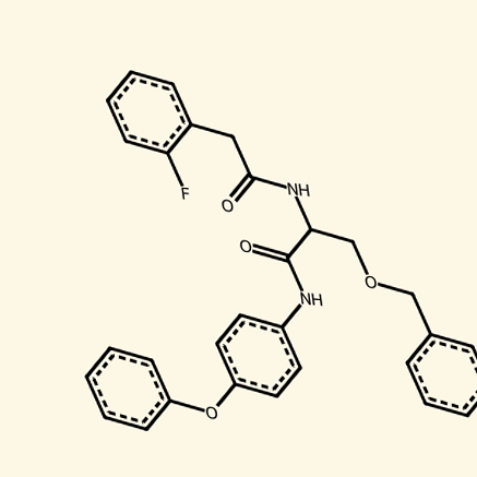 O=C(Cc1ccccc1F)NC(COCc1ccccc1)C(=O)Nc1ccc(Oc2ccccc2)cc1